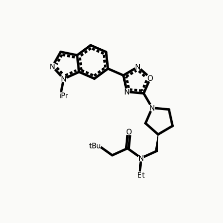 CCN(C[C@@H]1CCN(c2nc(-c3ccc4cnn(C(C)C)c4c3)no2)C1)C(=O)CC(C)(C)C